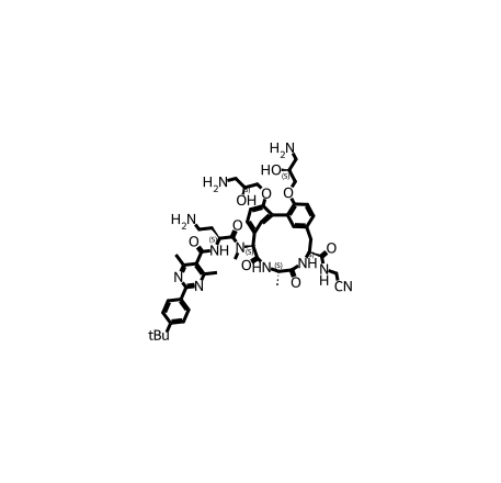 Cc1nc(-c2ccc(C(C)(C)C)cc2)nc(C)c1C(=O)N[C@@H](CCN)C(=O)N(C)[C@@H]1C(=O)N[C@@H](C)C(=O)N[C@H](C(=O)NCC#N)Cc2ccc(OC[C@@H](O)CN)c(c2)-c2cc1ccc2OC[C@@H](O)CN